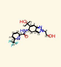 CC(C)(O)C1=Cc2nn(CCO)cc2CC1NC(=O)c1cccc(C(F)(F)F)n1